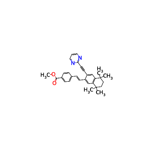 COC(=O)c1ccc(C=Cc2cc3c(cc2C#Cc2ncccn2)C(C)(C)CCC3(C)C)cc1